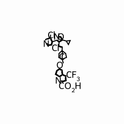 O=C(O)c1cc(C(F)(F)F)c2cc(OCC34CCC(C=Cc5c(-c6c(Cl)cncc6Cl)noc5C5CC5)(CC3)CC4)ccc2n1